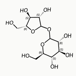 OC[C@H]1OC(OC2O[C@H](CO)[C@@H](O)[C@@H]2O)[C@H](O)[C@@H](O)[C@@H]1O